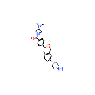 CN(C)C1CN(C(=O)c2ccc(C3Cc4ccc(N5CCNCC5)cc4CO3)cc2)C1